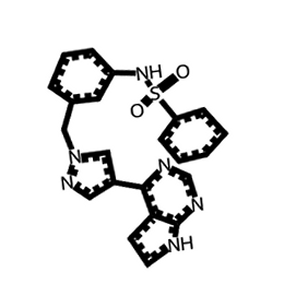 O=S(=O)(Nc1cccc(Cn2cc(-c3ncnc4[nH]ccc34)cn2)c1)c1ccccc1